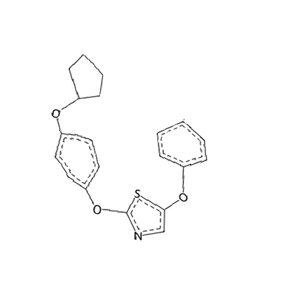 [c]1ccc(Oc2cnc(Oc3ccc(OC4CCCC4)cc3)s2)cc1